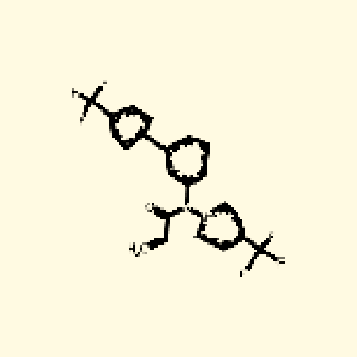 C=CC(=O)N(c1cccc(-c2ccc(C(F)(F)F)cc2)c1)[n+]1ccc(C(F)(F)F)cc1